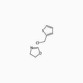 C1=NCCO1.ClCc1cccs1